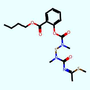 CCCCOC(=O)c1ccccc1OC(=O)N(C)SN(C)C(=O)N=C(C)SC